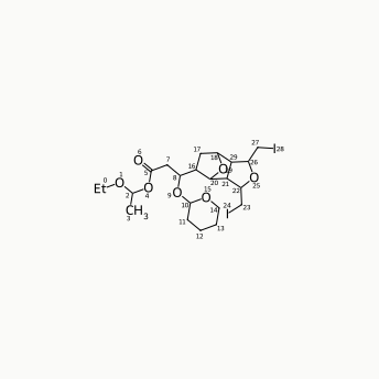 CCOC(C)OC(=O)CC(OC1CCCCO1)C1CC2OC1C1C(CI)OC(CI)C21